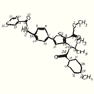 COC(=O)c1sc(-c2ccc(NC(=O)c3cscn3)cc2)cc1N(C(=O)[C@H]1CC[C@H](C)CC1)C(C)C